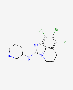 Brc1c(Br)c2c3c(nc(N[C@H]4CCCNC4)n3CCC2)c1Br